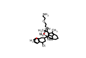 CCCCC(C)(C)CC(C1C2=CC=C(COCCOCCN)C(C)=C1CCC2)C(C)(CCCC)C(CCCN)CC(CC)c1ccccc1